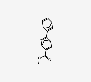 COC(=O)C1=CC2CC1C=C2C1=CC2C=CC1C2